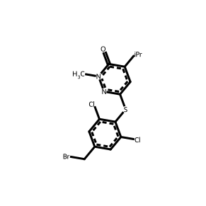 CC(C)c1cc(Sc2c(Cl)cc(CBr)cc2Cl)nn(C)c1=O